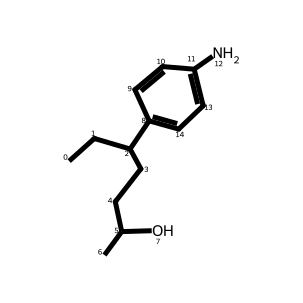 CCC(CCC(C)O)c1ccc(N)cc1